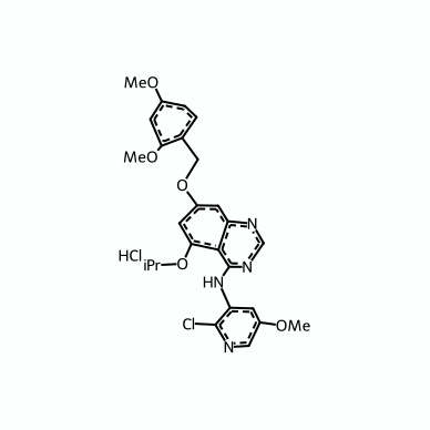 COc1cnc(Cl)c(Nc2ncnc3cc(OCc4ccc(OC)cc4OC)cc(OC(C)C)c23)c1.Cl